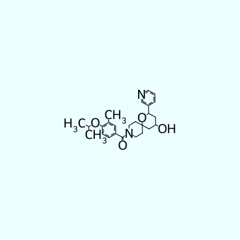 Cc1cc(C(=O)N2CCC3(CC2)CC(O)CC(c2cccnc2)O3)ccc1OC(C)C